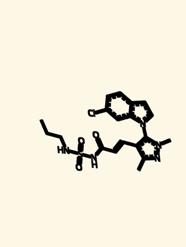 CCCNS(=O)(=O)NC(=O)C=Cc1c(C)nn(C)c1-n1ccc2ccc(Cl)cc21